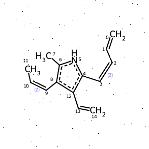 C=C/C=C\c1[nH]c(C)c(/C=C\C)c1C=C